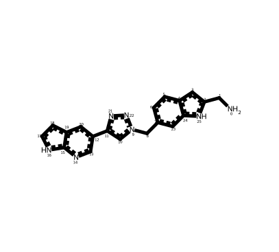 NCc1cc2ccc(Cn3cc(-c4cnc5[nH]ccc5c4)nn3)cc2[nH]1